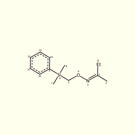 CC/C(C)=N\OC[Si](C)(C)c1ccccc1